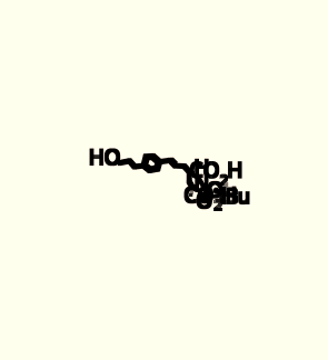 CC(C)(C)OC(=O)N[C@@H](C[C@H](C/C=C/c1ccc(CCCO)cc1)C(=O)O)C(=O)O